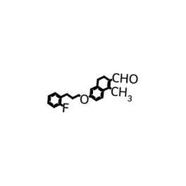 CC1=C(C=O)CCc2cc(OCCCc3ccccc3F)ccc21